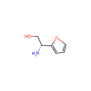 N[C@H](CO)c1ccco1